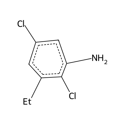 CCc1cc(Cl)cc(N)c1Cl